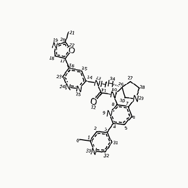 Cc1cc(-c2ccc3c(n2)N(C(=O)Nc2cc(-c4cnc(C)o4)cnn2)[C@H]2CCN3C2)ccn1